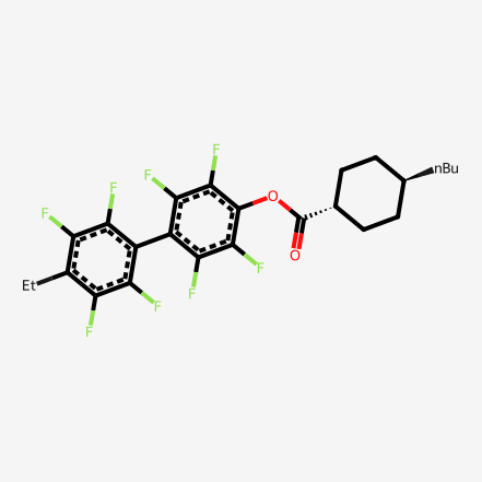 CCCC[C@H]1CC[C@H](C(=O)Oc2c(F)c(F)c(-c3c(F)c(F)c(CC)c(F)c3F)c(F)c2F)CC1